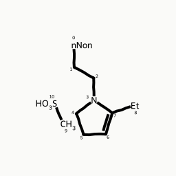 CCCCCCCCCCCN1CCC=C1CC.CS(=O)(=O)O